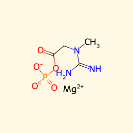 CN(CC(=O)OP(=O)([O-])[O-])C(=N)N.[Mg+2]